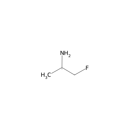 C[C](N)CF